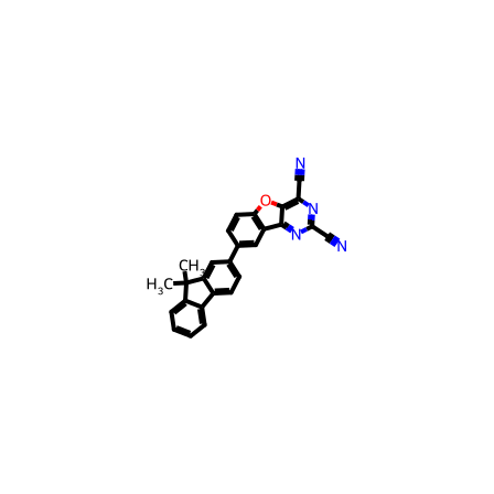 CC1(C)c2ccccc2-c2ccc(-c3ccc4oc5c(C#N)nc(C#N)nc5c4c3)cc21